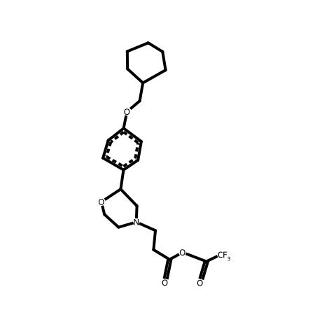 O=C(CCN1CCOC(c2ccc(OCC3CCCCC3)cc2)C1)OC(=O)C(F)(F)F